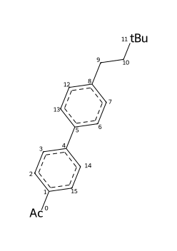 CC(=O)c1ccc(-c2ccc(CCC(C)(C)C)cc2)cc1